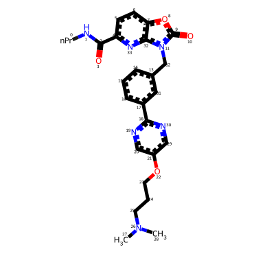 CCCNC(=O)c1ccc2oc(=O)n(Cc3cccc(-c4ncc(OCCCN(C)C)cn4)c3)c2n1